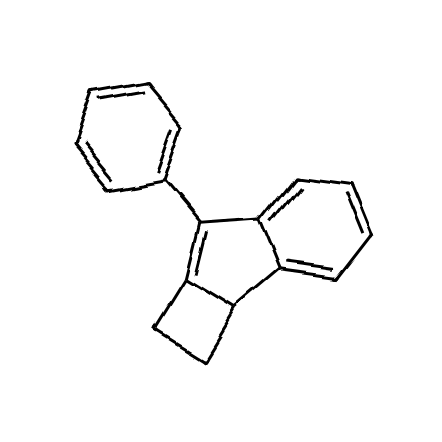 c1ccc(C2=C3CCC3c3ccccc32)cc1